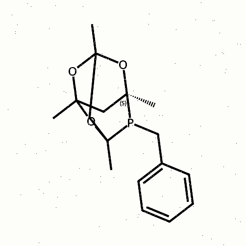 CC12C[C@@]3(C)OC(C)(CC(C)(O1)P3Cc1ccccc1)O2